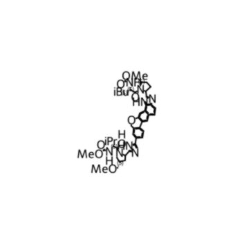 CC[C@H](C)[C@H](NC(=O)OC)C(=O)N1C(c2nc3ccc4cc5c(cc4c3[nH]2)OCc2cc(-c3cnc(C4C[C@H](COC)CN4C(O)[C@@H](NC(=O)OC)C(C)C)[nH]3)ccc2-5)CC[C@@H]1C